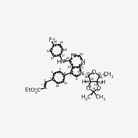 CCOC(=O)/C=C/c1ccc(-c2cn([C@@H]3O[C@H](C)[C@H]4OC(C)(C)O[C@H]43)c3ncnc(Nc4ccc(F)cc4)c23)cc1